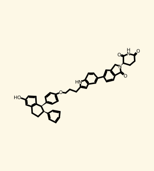 O=C1CC[C@H](N2Cc3cc(-c4ccc5[nH]c(CCCOc6ccc([C@@H]7c8ccc(O)cc8CC[C@@H]7c7ccccc7)cc6)cc5c4)ccc3C2=O)C(=O)N1